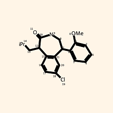 COc1ccccc1C1C[N]C(=O)C(CC(C)C)c2ccc(Cl)cc21